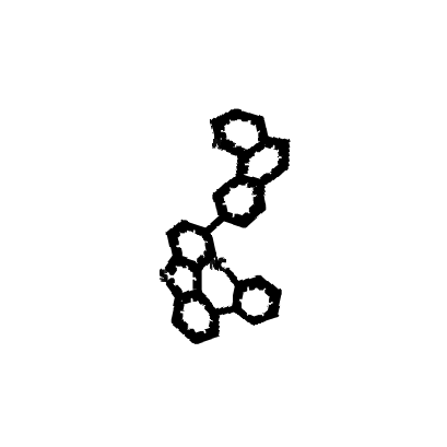 N#Cc1ccccc1-c1cccc2sc3ccc(-c4ccc5ccc6cccnc6c5c4)cc3c12